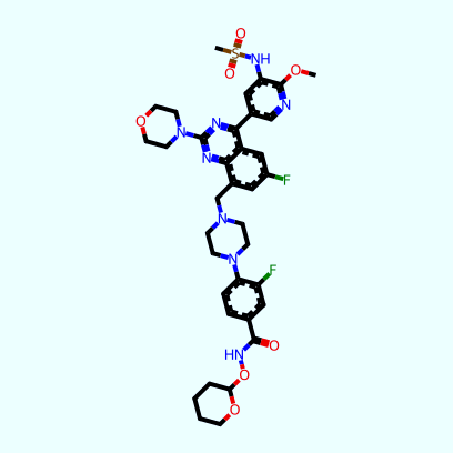 COc1ncc(-c2nc(N3CCOCC3)nc3c(CN4CCN(c5ccc(C(=O)NOC6CCCCO6)cc5F)CC4)cc(F)cc23)cc1NS(C)(=O)=O